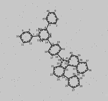 c1ccc(-c2nc(-c3ccccc3)nc(-c3ccc(-n4c5cccc(-c6ccccc6)c5c5c6ccccc6ccc54)cc3)n2)cc1